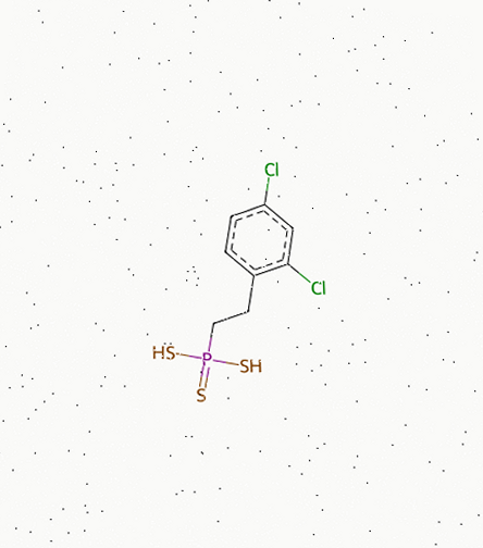 S=P(S)(S)CCc1ccc(Cl)cc1Cl